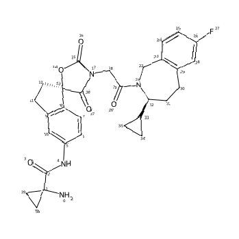 NC1(C(=O)Nc2ccc3c(c2)CC[C@@]32OC(=O)N(CC(=O)N3Cc4ccc(F)cc4CC[C@H]3C3CC3)C2=O)CC1